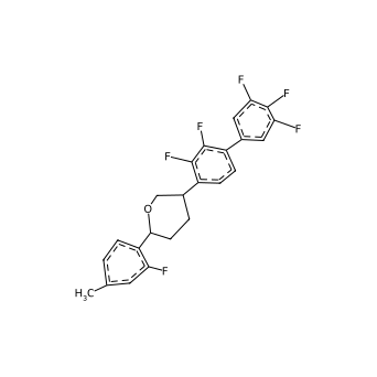 Cc1ccc(C2CCC(c3ccc(-c4cc(F)c(F)c(F)c4)c(F)c3F)CO2)c(F)c1